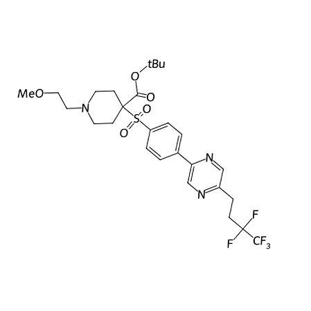 COCCN1CCC(C(=O)OC(C)(C)C)(S(=O)(=O)c2ccc(-c3cnc(CCC(F)(F)C(F)(F)F)cn3)cc2)CC1